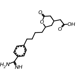 N=C(N)c1ccc(CCCCC2CC(CC(=O)O)CC(=O)O2)cc1